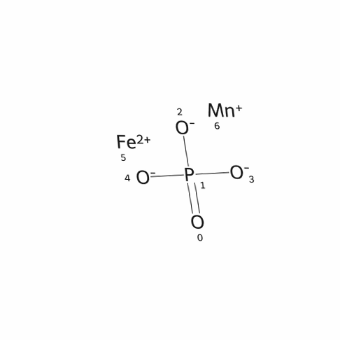 O=P([O-])([O-])[O-].[Fe+2].[Mn+]